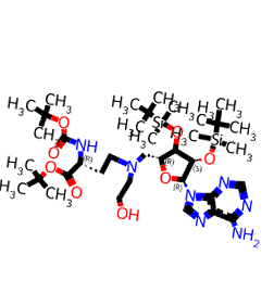 CC(C)(C)OC(=O)N[C@H](CCN(CCO)C[C@H]1O[C@@H](n2cnc3c(N)ncnc32)[C@@H](O[Si](C)(C)C(C)(C)C)C1O[Si](C)(C)C(C)(C)C)C(=O)OC(C)(C)C